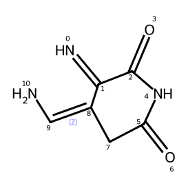 N=C1C(=O)NC(=O)C/C1=C/N